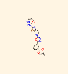 CNC(=O)Nc1nc2c(s1)CN(c1nnc(-c3cccc(C(=O)OC)c3)o1)CC2